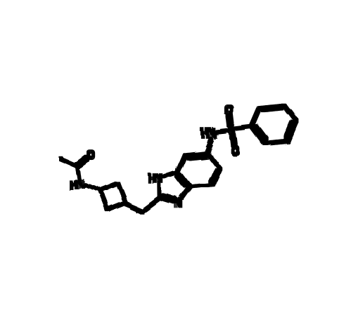 CC(=O)NC1CC(Cc2nc3ccc(NS(=O)(=O)c4ccccc4)cc3[nH]2)C1